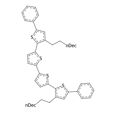 CCCCCCCCCCCCc1cc(-c2ccccc2)sc1-c1ccc(-c2ccc(-c3sc(-c4ccccc4)cc3CCCCCCCCCCCC)s2)s1